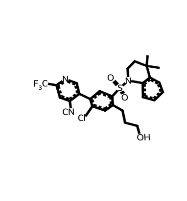 CC1(C)CCN(S(=O)(=O)c2cc(-c3cnc(C(F)(F)F)cc3C#N)c(Cl)cc2CCCO)c2ccccc21